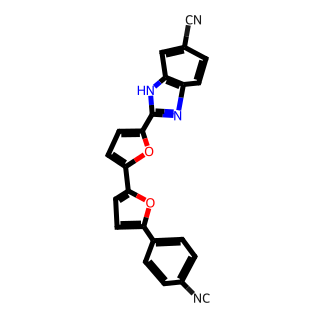 [C-]#[N+]c1ccc(-c2ccc(-c3ccc(-c4nc5ccc(C#N)cc5[nH]4)o3)o2)cc1